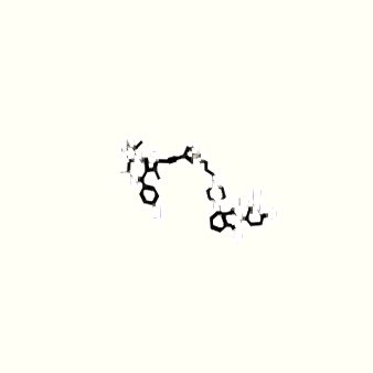 Cc1c(C#Cc2cnn(CCCN3CCN(c4cccc5c4C(=O)N(C4CCC(=O)NC4=O)C5=O)CC3)c2)sc2c1C(c1ccc(Cl)cc1)=N[C@@H](C)c1nnc(C)n1-2